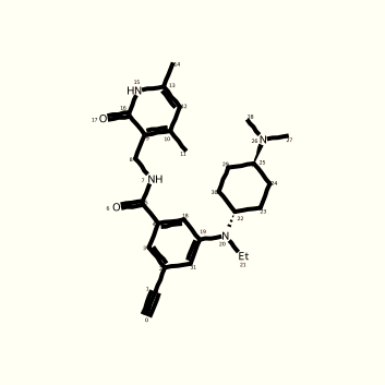 C#Cc1cc(C(=O)NCc2c(C)cc(C)[nH]c2=O)cc(N(CC)[C@H]2CC[C@H](N(C)C)CC2)c1